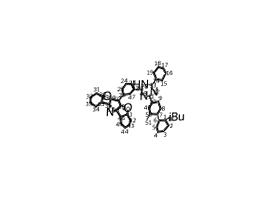 CCC(C)c1ccccc1-c1ccc(C2=NC(c3ccccc3)NC(c3cccc(-c4c5oc6ccccc6c5nc5c4oc4ccccc45)c3)=N2)cc1C